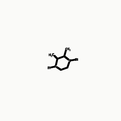 CCN1CCN(CC)C(C)C1C